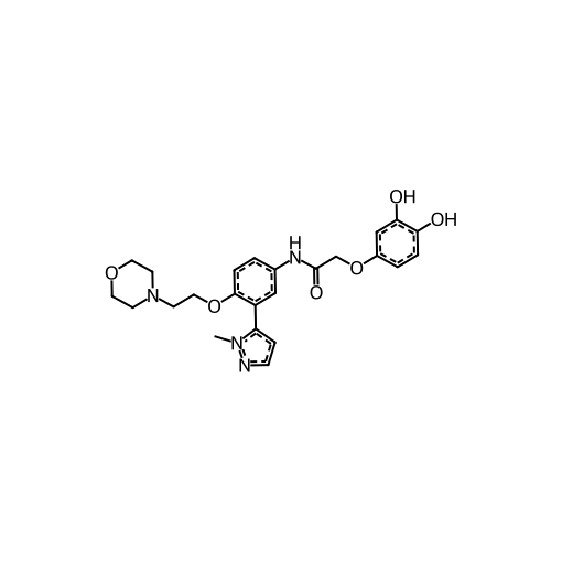 Cn1nccc1-c1cc(NC(=O)COc2ccc(O)c(O)c2)ccc1OCCN1CCOCC1